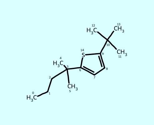 CCCC(C)(C)c1ccc(C(C)(C)C)s1